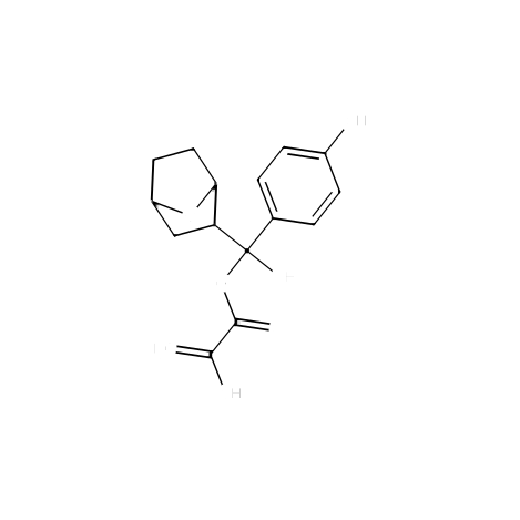 C=C(C)C(=O)OC(C)(c1ccc(C)cc1)C1CC2CCC1O2